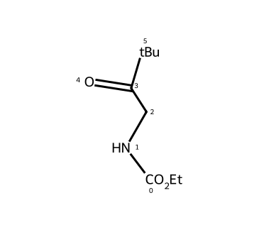 CCOC(=O)NCC(=O)C(C)(C)C